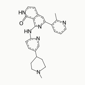 Cc1ncccc1-c1cc2cc[nH]c(=O)c2c(Nc2ccc(C3CCN(C)CC3)cn2)n1